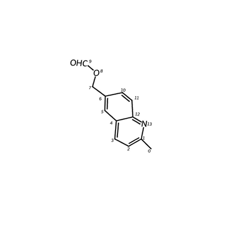 Cc1ccc2cc(COC=O)ccc2n1